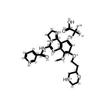 COc1c(OCCC2CNCCO2)ccc2c1N=C(NC(=O)c1cccnc1)N1CCN=C21.O=C(O)C(F)(F)F